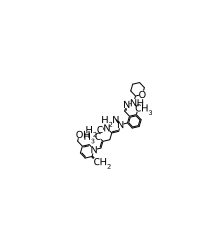 C=N/C(=C\N(N)c1cccc(C)c1/C=N\NC1CCCCO1)C/C(C)=C/N1C=C(CO)C=CC1=C